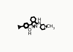 CN1CCCC(Nc2nnc(-c3ccc(C4CC4)cc3O)c3c2CCCC3)C1